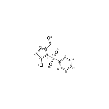 O=Cc1snc(Cl)c1S(=O)(=O)c1ccccc1